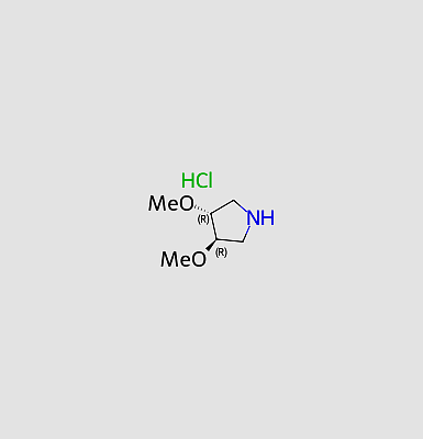 CO[C@@H]1CNC[C@H]1OC.Cl